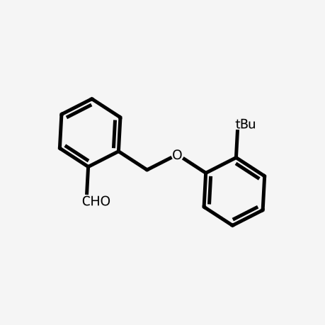 CC(C)(C)c1ccccc1OCc1ccccc1C=O